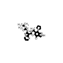 CC(NC(=O)c1c(NC(=O)OC(C)(C)C)nn2cccnc12)c1cc(Cl)c2c[nH]nc2c1N1CCCC1